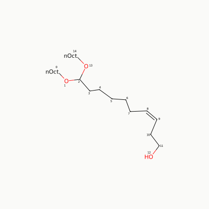 CCCCCCCCOC(CCCCC/C=C\CCO)OCCCCCCCC